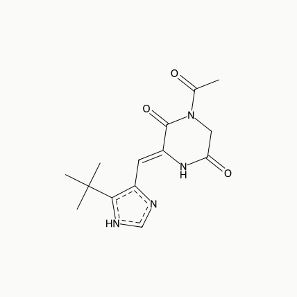 CC(=O)N1CC(=O)NC(=Cc2nc[nH]c2C(C)(C)C)C1=O